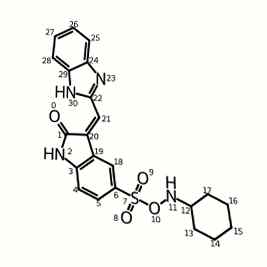 O=C1Nc2ccc(S(=O)(=O)ONC3CCCCC3)cc2C1=Cc1nc2ccccc2[nH]1